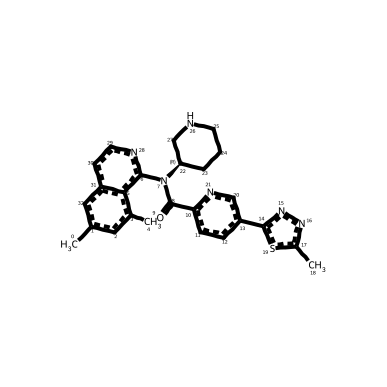 Cc1cc(C)c2c(N(C(=O)c3ccc(-c4nnc(C)s4)cn3)[C@@H]3CCCNC3)nccc2c1